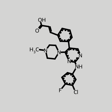 CN1CCN(c2nc(Nc3ccc(F)c(Cl)c3)ncc2-c2cccc(C=CC(=O)O)c2)CC1